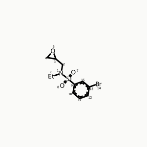 CCN(CC1CO1)S(=O)(=O)c1cccc(Br)c1